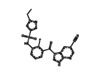 CCn1cc(S(=O)(=O)Nc2cccc(C(=O)c3c[nH]c4ncc(C#N)cc34)c2F)cn1